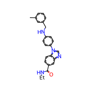 CCNC(=O)c1ccc2c(c1)ncn2-c1ccc(NCc2cccc(C)c2)cc1